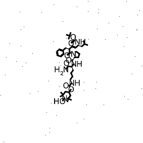 CC(C)C[C@@H](/C=C/[C@H](Cc1ccccc1)C(=O)N1CCC[C@H]1C(=O)N[C@@H](CCCCNC(=O)OC1CC(C)(C)N(O)C(C)(C)C1)C(N)=O)NC(=O)OC(C)(C)C